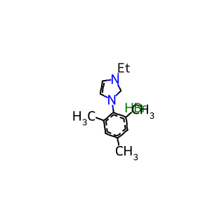 Br.CCN1C=CN(c2c(C)cc(C)cc2C)C1